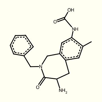 Cc1cc2c(cc1NC(=O)O)CN(Cc1ccccc1)C(=O)C(N)C2